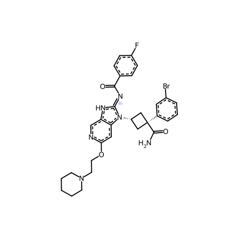 NC(=O)[C@]1(c2cccc(Br)c2)C[C@@H](n2/c(=N/C(=O)c3ccc(F)cc3)[nH]c3cnc(OCCN4CCCCC4)cc32)C1